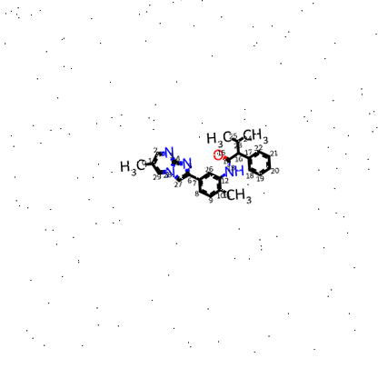 Cc1cnc2nc(-c3ccc(C)c(NC(=O)C(c4ccccc4)C(C)C)c3)cn2c1